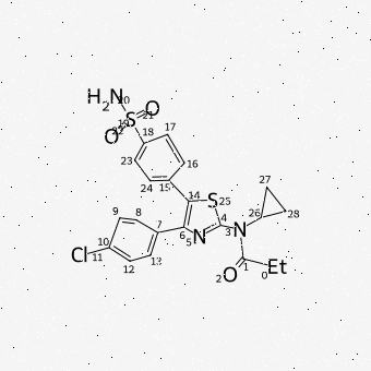 CCC(=O)N(c1nc(-c2ccc(Cl)cc2)c(-c2ccc(S(N)(=O)=O)cc2)s1)C1CC1